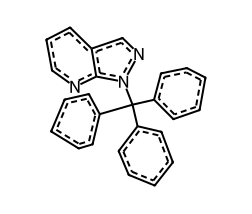 c1ccc(C(c2ccccc2)(c2ccccc2)n2ncc3cccnc32)cc1